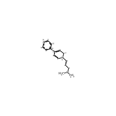 CN(C)CCCN1C=CC(c2ccncc2)=CC1